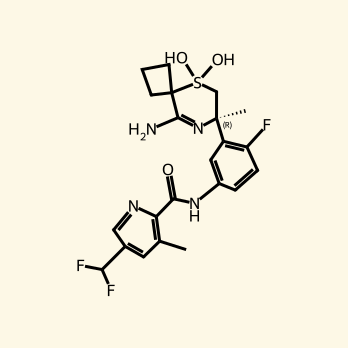 Cc1cc(C(F)F)cnc1C(=O)Nc1ccc(F)c([C@]2(C)CS(O)(O)C3(CCC3)C(N)=N2)c1